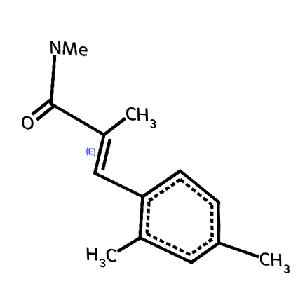 CNC(=O)/C(C)=C/c1ccc(C)cc1C